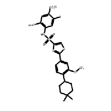 COc1cc(C(=O)O)c(F)cc1NS(=O)(=O)c1csc(-c2ccc(C3CCC(C)(C)CC3)c(OC(F)(F)F)c2)n1